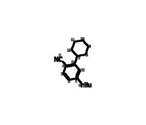 CCCCc1ccc(C#N)c(C2CCCCC2)c1